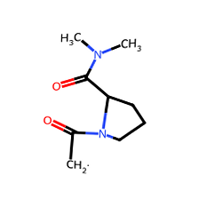 [CH2]C(=O)N1CCCC1C(=O)N(C)C